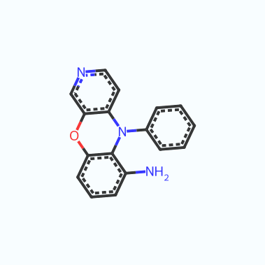 Nc1cccc2c1N(c1ccccc1)c1ccncc1O2